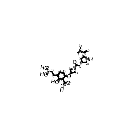 C=C([C@H]1C[C@@H](CC(=O)N2CC(Oc3ccc(CCB(O)O)c(O)c3C(=O)O)C2)CN1)N(C)C